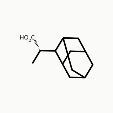 C[C@H](C(=O)O)C1C2CC3CC(C2)CC1C3